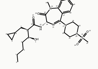 CCCC[C@H](O)[C@@H](CC1CC1)C(=O)N[C@H]1N=C(N2CCN(S(C)(=O)=O)CC2)c2ccccc2N(C)C1=O